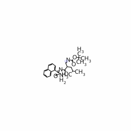 CC(C)CC(/C=N\C(=O)OC(C)(C)C)C(=O)N=S(N)(=O)c1cccc2ccccc12